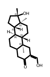 C[C@]12CC(=CO)C(=O)CC1CC[C@@H]1[C@@H]2CC[C@@]2(C)[C@H]1CC[C@]2(C)O